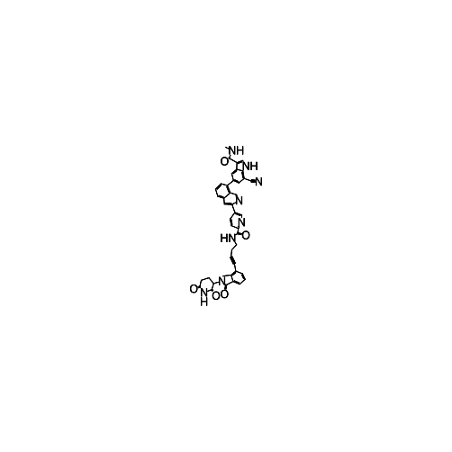 CNC(=O)c1c[nH]c2c(C#N)cc(-c3cccc4cc(-c5ccc(C(=O)NCCC#Cc6cccc7c6CN(C6CCC(=O)NC6=O)C7=O)nc5)ncc34)cc12